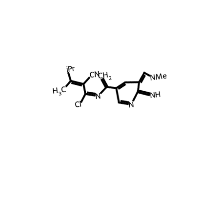 C=C(/N=C(Cl)\C(C#N)=C(/C)C(C)C)C1=C/C(=C/NC)C(=N)N=C1